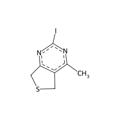 Cc1nc(I)nc2c1CSC2